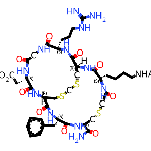 CC(=O)NCCCC[C@@H]1NC(=O)CSC[C@@H](C(N)=O)NC(=O)[C@H](Cc2ccccc2)NC(=O)[C@@H]2CSCSC[C@H](NC1=O)C(=O)N[C@@H](CCCNC(=N)N)C(=O)NCC(=O)N[C@@H](CC(=O)O)C(=O)N2